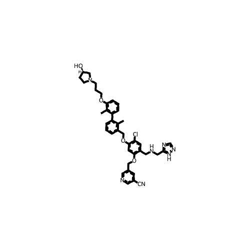 Cc1c(COc2cc(OCc3cncc(C#N)c3)c(CNCc3ncn[nH]3)cc2Cl)cccc1-c1cccc(OCCCN2CC[C@@H](O)C2)c1C